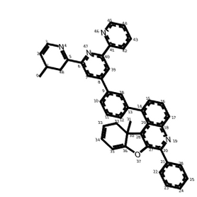 CC1C=CN=C(c2cc(-c3cccc(-c4cccc5nc(-c6ccccc6)c6c(c45)C4(C)CC=CC=C4O6)c3)cc(-c3ccccn3)n2)C1